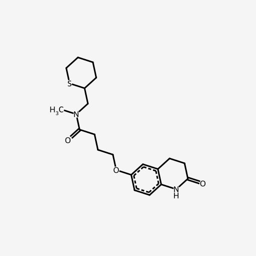 CN(CC1CCCCS1)C(=O)CCCOc1ccc2c(c1)CCC(=O)N2